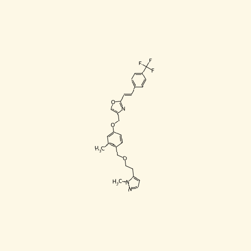 Cc1cc(OCc2coc(C=Cc3ccc(C(F)(F)F)cc3)n2)ccc1COCCc1ccnn1C